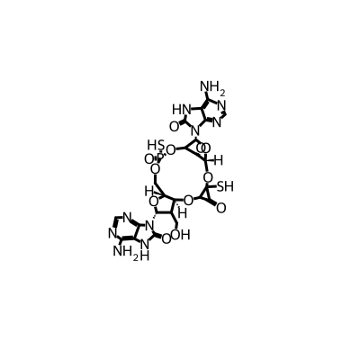 Nc1ncnc2c1[nH]c(=O)n2[C@@H]1O[C@@H]2OC3(S)C(=O)C3O[C@H]3C(CO)[C@H](n4c(=O)[nH]c5c(N)ncnc54)O[C@@H]3COP(=O)(S)OC1C2=O